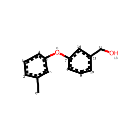 Cc1cccc(Oc2cccc(CO)c2)c1